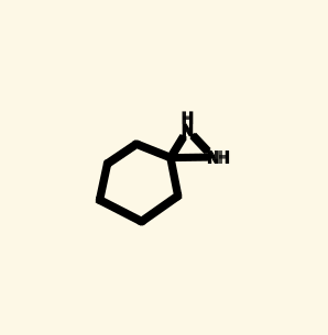 C1CCC2(CC1)NN2